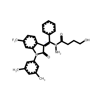 Cc1cc(C)cc(N2C(=O)/C(=C(/c3ccccc3)N(N)C(=O)CCCO)c3ccc(C(F)(F)F)cc32)c1